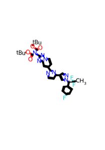 CC(C)(C)OC(=O)N(C(=O)OC(C)(C)C)c1nc2cc(-c3nccc(-c4cnn([C@H](c5ccc(F)cc5)C(C)(F)F)c4)n3)ccn2n1